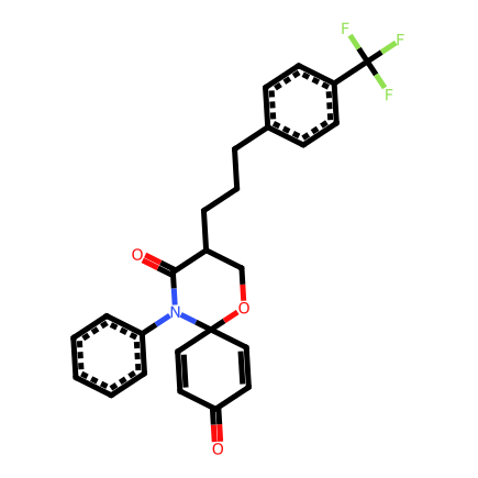 O=C1C=CC2(C=C1)OCC(CCCc1ccc(C(F)(F)F)cc1)C(=O)N2c1ccccc1